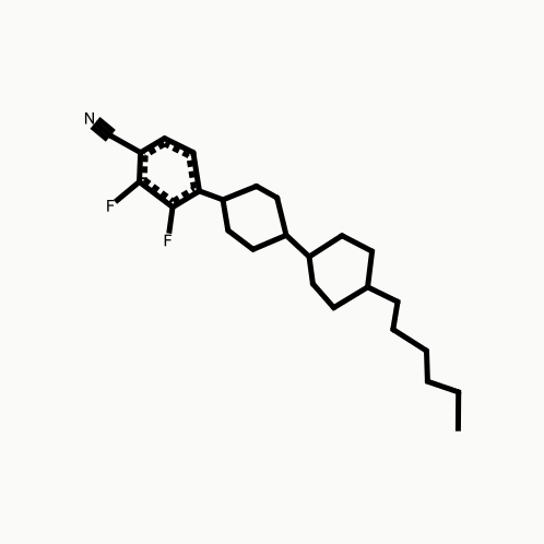 CCCCCCC1CCC(C2CCC(c3ccc(C#N)c(F)c3F)CC2)CC1